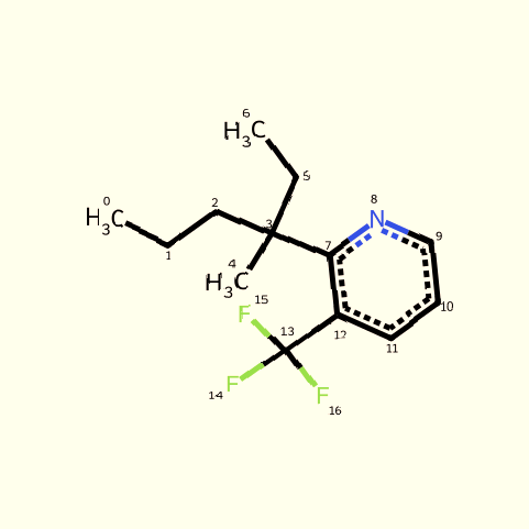 CCCC(C)(CC)c1ncccc1C(F)(F)F